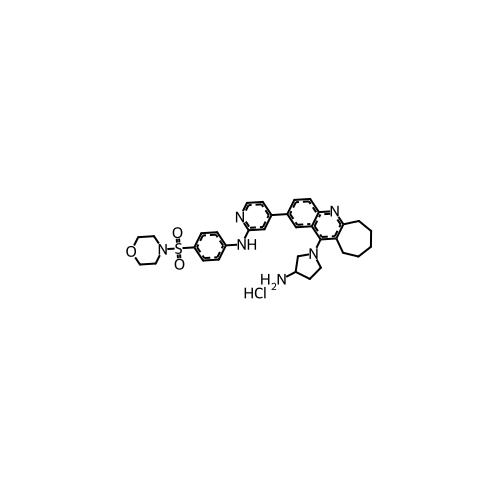 Cl.NC1CCN(c2c3c(nc4ccc(-c5ccnc(Nc6ccc(S(=O)(=O)N7CCOCC7)cc6)c5)cc24)CCCCC3)C1